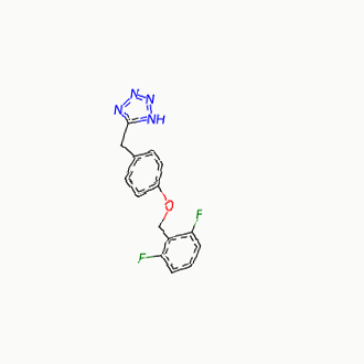 Fc1cccc(F)c1COc1ccc(Cc2nnn[nH]2)cc1